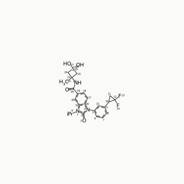 CC(C)n1c(=O)n(-c2cccc(C3CC3(F)F)c2)c2ccc(C(=O)NC3(C)CS(O)(O)C3)cc21